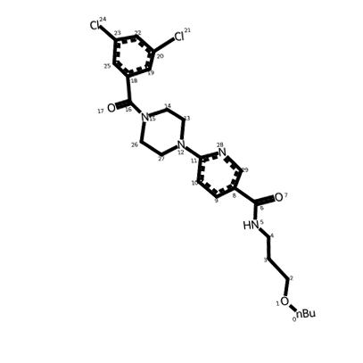 CCCCOCCCNC(=O)c1ccc(N2CCN(C(=O)c3cc(Cl)cc(Cl)c3)CC2)nc1